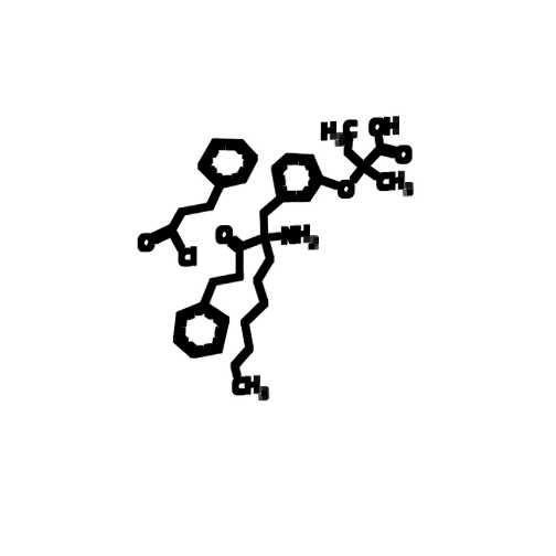 CCCCCCCC(N)(Cc1cccc(OC(C)(CC)C(=O)O)c1)C(=O)CCc1ccccc1.O=C(Cl)CCc1ccccc1